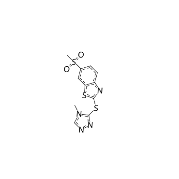 Cn1cnnc1Sc1nc2ccc(S(C)(=O)=O)cc2s1